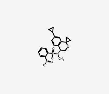 CN([C@@H]1COC2(CC2)c2cc(C3CC3)ccc21)S(=O)(=O)c1ccccc1[N+](=O)[O-]